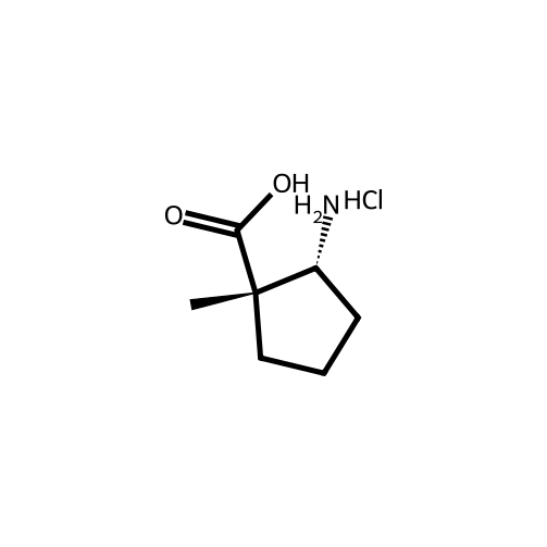 C[C@]1(C(=O)O)CCC[C@H]1N.Cl